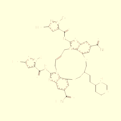 CCn1nc(C)cc1C(=O)Nc1nc2cc(C(N)=O)cc3c2n1C/C=C/Cn1c(NC(=O)c2cc(C)nn2CC)nc2cc(C(N)=O)cc(c21)OCC(CCC1CCOCN1)CO3